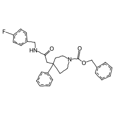 O=C(CC1(c2ccccc2)CCN(C(=O)OCc2ccccc2)CC1)NCc1ccc(F)cc1